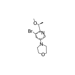 CO[C@@H](C)c1ncc(N2CCOCC2)cc1Br